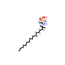 CCCCCCCCCCCCCCCC(C)(C)NC(C)S(=O)(=O)O